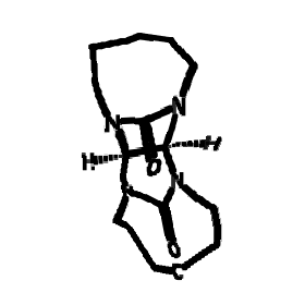 O=C1N2CCCCCN1[C@H]1[C@@H]2N2CCCCCN1C2=O